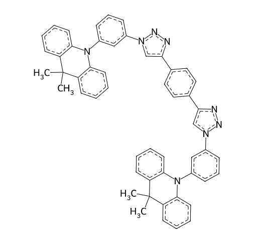 CC1(C)c2ccccc2N(c2cccc(-n3cc(-c4ccc(-c5cn(-c6cccc(N7c8ccccc8C(C)(C)c8ccccc87)c6)nn5)cc4)nn3)c2)c2ccccc21